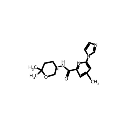 Cc1cc(C(=O)N[C@@H]2CCC(C)(C)OC2)nc(-n2ccnc2)c1